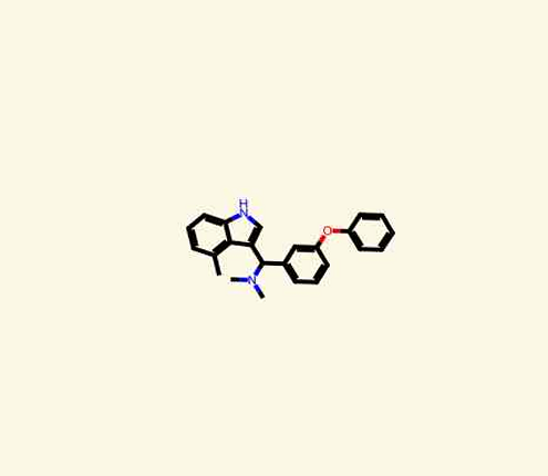 Cc1cccc2[nH]cc(C(c3cccc(Oc4ccccc4)c3)N(C)C)c12